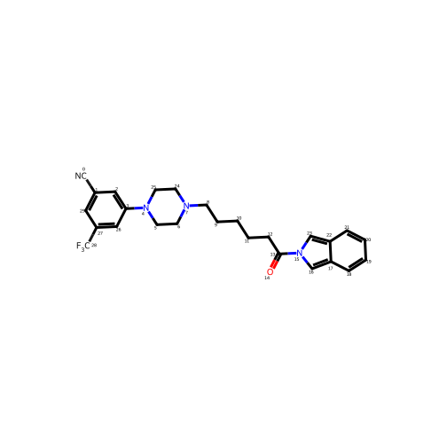 N#Cc1cc(N2CCN(CCCCCC(=O)n3cc4ccccc4c3)CC2)cc(C(F)(F)F)c1